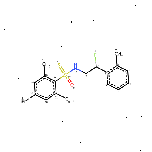 Cc1ccccc1C(F)CNS(=O)(=S)c1c(C)cc(C(C)C)cc1C